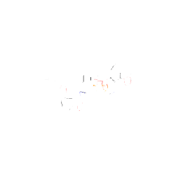 COc1cccc(OC)c1/C=C\[S+]([O-])C[S+]([O-])/C=C/c1c(OC)cccc1OC